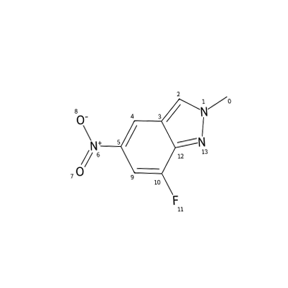 Cn1cc2cc([N+](=O)[O-])cc(F)c2n1